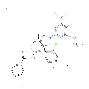 COc1nc(N2C[C@H]3CSC(NC(=O)c4ccccc4)=N[C@@]3(c3ccccc3F)C2)nc(C(F)F)c1F